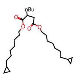 CCCCC(CC(=O)OCCCCCCCC1CC1)C(=O)OCCCCCCCC1CC1